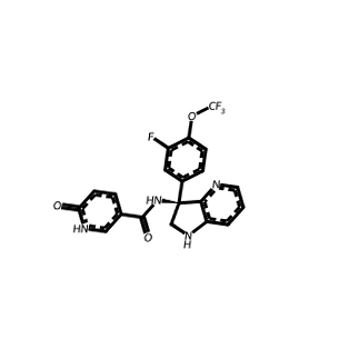 O=C(N[C@]1(c2ccc(OC(F)(F)F)c(F)c2)CNc2cccnc21)c1ccc(=O)[nH]c1